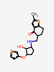 Cc1cc2c(s1)CCC(CNC1CCC(Oc3ccsc3)C1O)C2=O